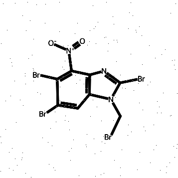 O=[N+]([O-])c1c(Br)c(Br)cc2c1nc(Br)n2CBr